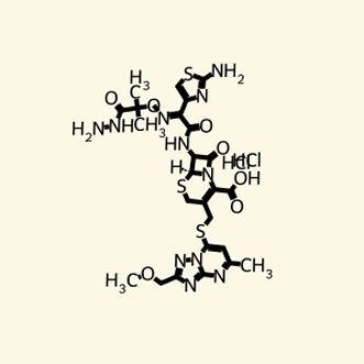 COCc1nc2nc(C)cc(SCC3=C(C(=O)O)N4C(=O)C(NC(=O)C(=NOC(C)(C)C(=O)NN)c5csc(N)n5)[C@@H]4SC3)n2n1.Cl.Cl